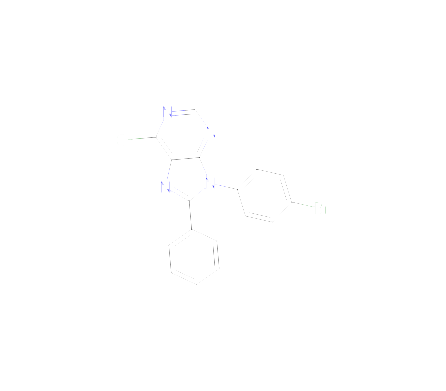 Clc1ncnc2c1nc(-c1ccccc1)n2-c1ccc(Br)cc1